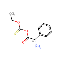 N[C@H](C(=O)OC(=S)OCC(Cl)(Cl)Cl)c1ccccc1